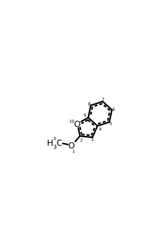 COc1cc2ccccc2o1